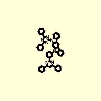 c1ccc(-c2cc(-c3ccccc3)nc(-c3cccc(-n4c5ccccc5c5cc6c7ccccc7n(-c7nc(-c8ccccc8)nc(-c8ccccc8)n7)c6cc54)c3)n2)cc1